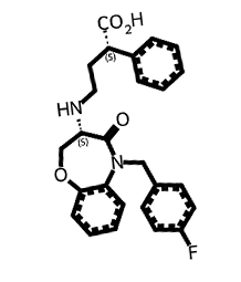 O=C(O)[C@@H](CCN[C@H]1COc2ccccc2N(Cc2ccc(F)cc2)C1=O)c1ccccc1